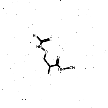 CCC(=O)NOCC(C)C(=O)NC#N